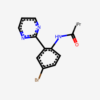 CC(C)C(=O)Nc1ccc(Br)cc1-c1ncccn1